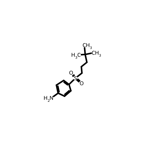 CC(C)(C)CCCS(=O)(=O)c1ccc(N)cc1